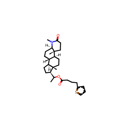 CC(OC(=O)CCCc1cccs1)[C@H]1CC[C@H]2[C@@H]3CC[C@H]4N(C)C(=O)CC[C@]4(C)[C@H]3CC[C@]12C